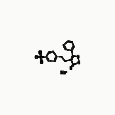 O=S(=O)([O-])c1ccc(CCc2c(-c3ccccc3)ssc2=S)cc1.[Na+]